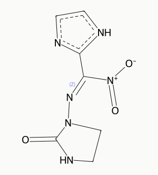 O=C1NCCN1/N=C(/c1ncc[nH]1)[N+](=O)[O-]